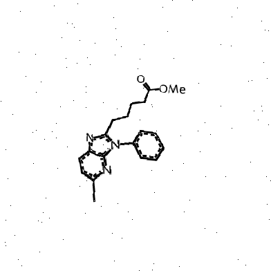 COC(=O)CCCCc1nc2ccc(C)nc2n1-c1ccccc1